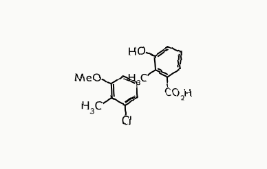 COc1cccc(Cl)c1C.Cc1c(O)cccc1C(=O)O